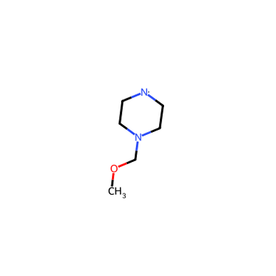 COCN1CC[N]CC1